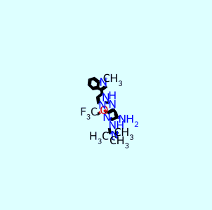 CC(CNc1nc(OCC(F)(F)F)c(Nc2nccc(-c3cn(C)c4ccccc34)n2)cc1N)N(C)C